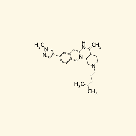 C=C(Nc1cc2cc(-c3cnn(C)c3)ccc2cn1)C1CCN(CCCC(C)C)CC1